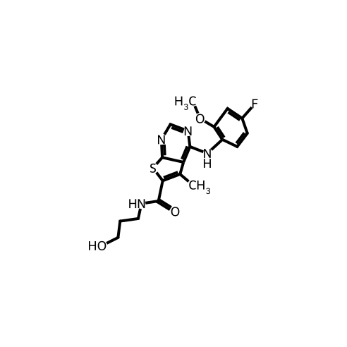 COc1cc(F)ccc1Nc1ncnc2sc(C(=O)NCCCO)c(C)c12